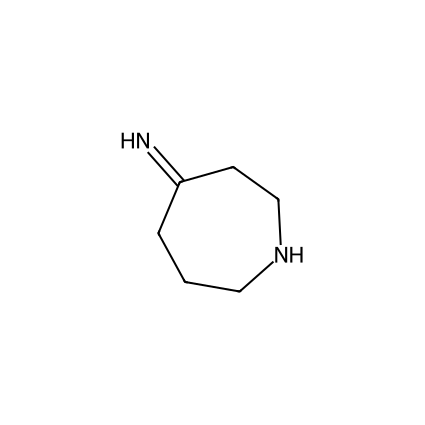 N=C1CCCNCC1